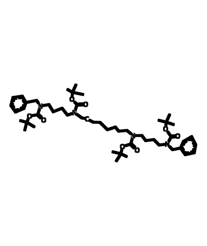 CC(C)(C)OC(=O)N(CCCCCCCCN(CCCCN(Cc1ccccc1)C(=O)OC(C)(C)C)C(=O)OC(C)(C)C)CCCCN(Cc1ccccc1)C(=O)OC(C)(C)C